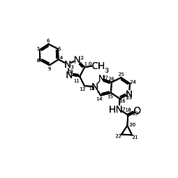 Cc1nn(-c2ccccc2)nc1Cn1cc2c(NC(=O)C3CC3)nccc2n1